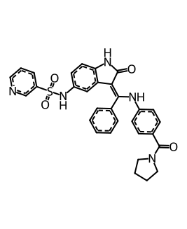 O=C1Nc2ccc(NS(=O)(=O)c3cccnc3)cc2/C1=C(/Nc1ccc(C(=O)N2CCCC2)cc1)c1ccccc1